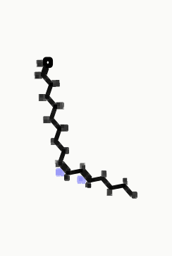 CCCC/C=C/C=C\CCCCCCCC=O